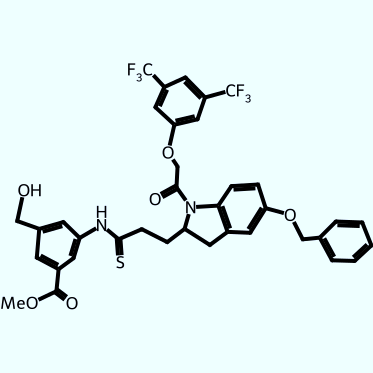 COC(=O)c1cc(CO)cc(NC(=S)CCC2Cc3cc(OCc4ccccc4)ccc3N2C(=O)COc2cc(C(F)(F)F)cc(C(F)(F)F)c2)c1